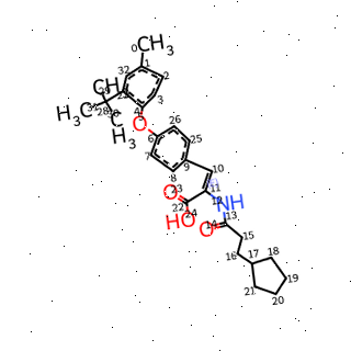 Cc1ccc(Oc2ccc(/C=C(/NC(=O)CCC3CCCC3)C(=O)O)cc2)c(C(C)(C)C)c1